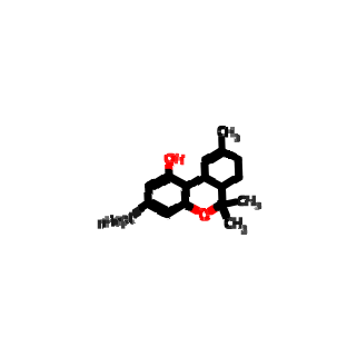 CCCCCCCC1=CC2OC(C)(C)C3CCC(C)=CC3C2C(O)=C1